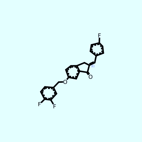 O=C1/C(=C/c2ccc(F)cc2)Cc2ccc(OCc3ccc(F)c(F)c3)cc21